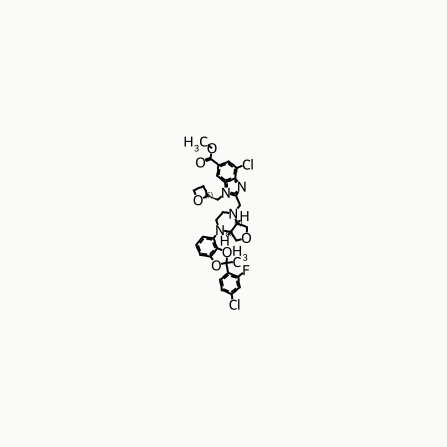 COC(=O)c1cc(Cl)c2nc(CN3CCN(c4cccc5c4OC(C)(c4ccc(Cl)cc4F)O5)[C@H]4COC[C@H]43)n(C[C@@H]3CCO3)c2c1